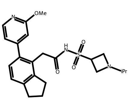 COc1cc(-c2ccc3c(c2CC(=O)NS(=O)(=O)C2CN(C(C)C)C2)CCC3)ccn1